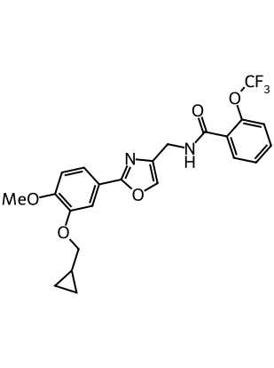 COc1ccc(-c2nc(CNC(=O)c3ccccc3OC(F)(F)F)co2)cc1OCC1CC1